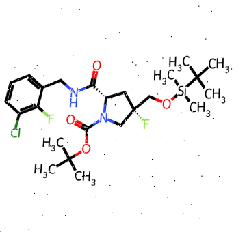 CC(C)(C)OC(=O)N1C[C@](F)(CO[Si](C)(C)C(C)(C)C)C[C@H]1C(=O)NCc1cccc(Cl)c1F